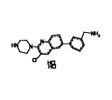 Cl.Cl.NCc1cccc(-c2ccc3nc(N4CCNCC4)c(Cl)cc3c2)c1